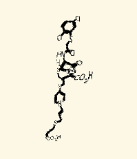 O=C(O)CCSCCC[n+]1ccc(SCC2=C(C(=O)O)N3C(=O)[C@H](NC(=O)CSc4cc(Cl)ccc4Cl)[C@H]3SC2)cc1